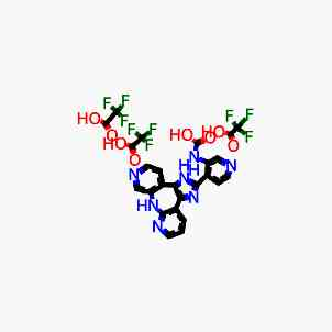 O=C(O)C(F)(F)F.O=C(O)C(F)(F)F.O=C(O)C(F)(F)F.O=C(O)Nc1cnccc1-c1nc2c([nH]1)-c1ccncc1Nc1ncccc1-2